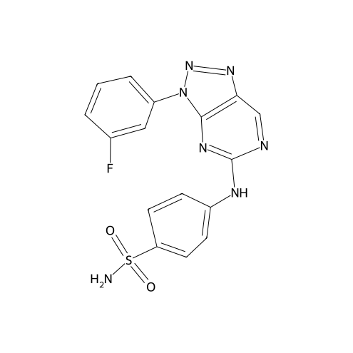 NS(=O)(=O)c1ccc(Nc2ncc3nnn(-c4cccc(F)c4)c3n2)cc1